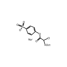 CCCCCCCCC(Cl)C(=O)Oc1ccc(S(=O)(=O)[O-])cc1.[Na+]